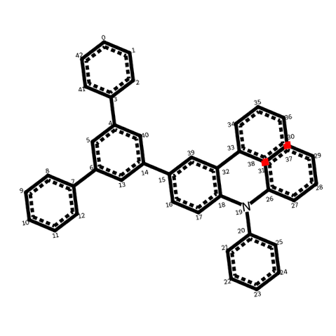 c1ccc(-c2cc(-c3ccccc3)cc(-c3ccc(N(c4ccccc4)c4ccccc4)c(-c4ccccc4)c3)c2)cc1